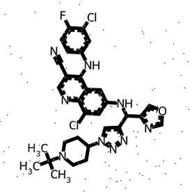 CC(C)(C)N1CCC(n2cc(C(Nc3cc(Cl)c4ncc(C#N)c(Nc5ccc(F)c(Cl)c5)c4c3)c3cocn3)nn2)CC1